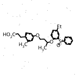 CCc1ccc(OC(C)CCOc2ccc(CCC(=O)O)c(C)c2)c([S+]([O-])c2ccccc2)c1